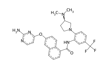 CN(C)[C@@H]1CCN(c2ccc(C(F)(F)F)cc2NC(=O)c2cccc3cc(Oc4ccnc(N)n4)ccc23)C1